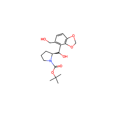 CC(C)(C)OC(=O)N1CCC[C@H]1C(O)c1c(CO)ccc2c1OCO2